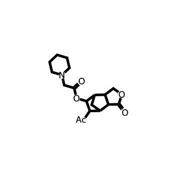 CC(=O)C1C2CC(C3COC(=O)C32)C1OC(=O)CN1CCCCC1